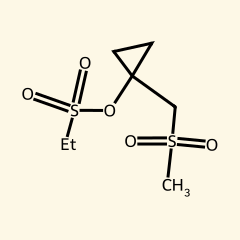 CCS(=O)(=O)OC1(CS(C)(=O)=O)CC1